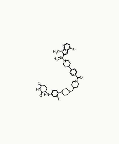 C[C@@H](c1cc2c(Br)ccnc2n1C)N1CCC(c2ccc(C(=O)N3CCC(CN4CCN(c5ccc(NC6CCC(=O)NC6=O)cc5F)CC4)CC3)cc2)CC1